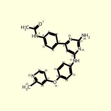 CC(=O)Nc1ccc(-c2cc(Nc3ccc(Oc4ccnc(C)c4)cc3)nc(N)n2)cc1